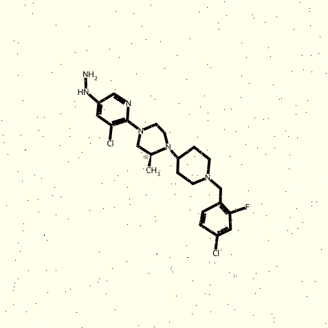 C[C@H]1CN(c2ncc(NN)cc2Cl)CCN1C1CCN(Cc2ccc(Cl)cc2F)CC1